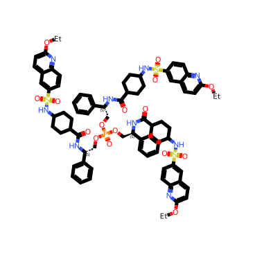 CCOc1ccc2cc(S(=O)(=O)NC3CCC(C(=O)N[C@H](COP(=O)(OC[C@@H](NC(=O)C4CCC(NS(=O)(=O)c5ccc6nc(OCC)ccc6c5)CC4)c4ccccc4)OC[C@@H](NC(=O)C4CCC(NS(=O)(=O)c5ccc6nc(OCC)ccc6c5)CC4)c4ccccc4)c4ccccc4)CC3)ccc2n1